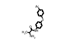 CC(=O)c1ccc(Sc2ccc(NC(=O)C(C)N)cc2)cc1